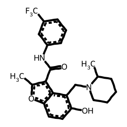 Cc1oc2ccc(O)c(CN3CCCCC3C)c2c1C(=O)Nc1cccc(C(F)(F)F)c1